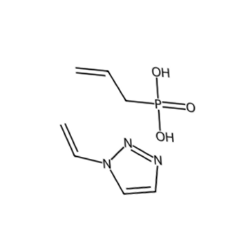 C=CCP(=O)(O)O.C=Cn1ccnn1